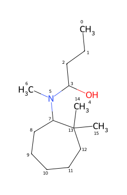 CCCC(O)N(C)C1CCCCCC1(C)C